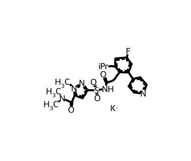 CC(C)c1cc(F)cc(-c2ccncc2)c1CC(=O)NS(=O)(=O)c1cc(C(=O)N(C)C)n(C)n1.[K]